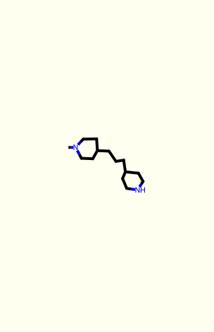 CN1CCC(CCCC2CCNCC2)CC1